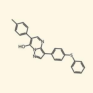 Cc1ccc(-c2cnc3c(-c4ccc(Sc5ccccc5)cc4)cnn3c2O)cc1